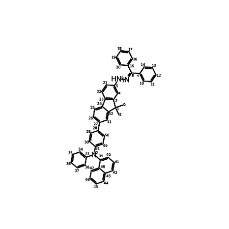 CC1(C)c2cc(NN=C(c3ccccc3)c3ccccc3)ccc2-c2ccc(-c3ccc(N(c4ccccc4)c4cccc5ccccc45)cc3)cc21